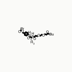 CCC(C)C(=O)CCOCCOCCC(=O)N[C@@H](C)C(=O)Nc1ccc(COC(=O)C(C)C)cc1